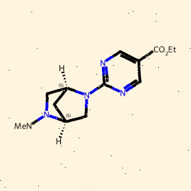 CCOC(=O)c1cnc(N2C[C@@H]3C[C@H]2CN3NC)nc1